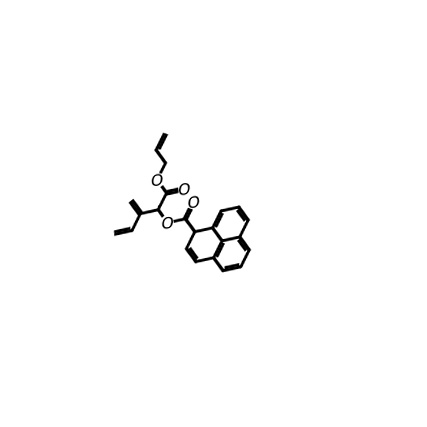 C=CCOC(=O)[C](OC(=O)C1C=Cc2cccc3cccc1c23)C(=C)C=C